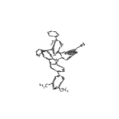 Cc1cc(C)cc(-c2ccc3c(c2)c2ccccc2n3-c2ccc(C#N)cc2-c2nc(-c3ccccc3)nc(-c3ccccc3)n2)c1